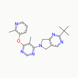 Cc1ncccc1Oc1ncnc(N2Cc3cnc(C(C)(C)C)nc3C2)c1C